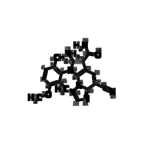 COc1ccc(C)c(-n2c(N)c(C(N)=O)c3cc(C#N)c4ncnn4c32)c1C